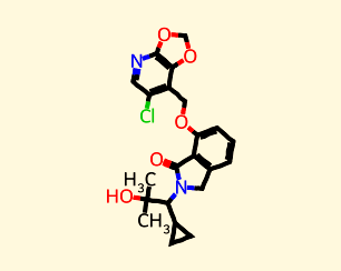 CC(C)(O)C(C1CC1)N1Cc2cccc(OCc3c(Cl)cnc4c3OCO4)c2C1=O